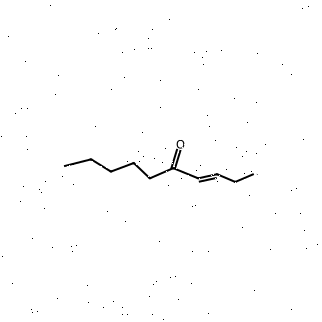 [CH2]CC=CC(=O)CCCCC